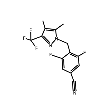 Cc1c(C(F)(F)F)nn(Cc2c(F)cc(C#N)cc2F)c1C